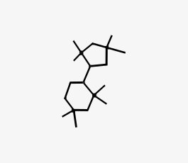 CC1(C)CCC(C2CC(C)(C)CC2(C)C)C(C)(C)C1